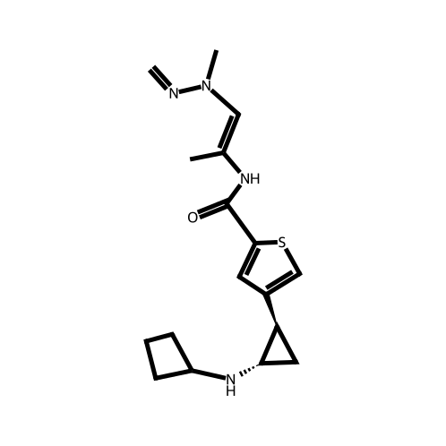 C=NN(C)/C=C(\C)NC(=O)c1cc([C@H]2C[C@@H]2NC2CCC2)cs1